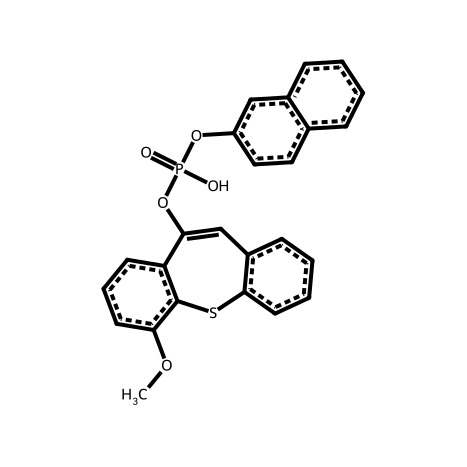 COc1cccc2c1Sc1ccccc1C=C2OP(=O)(O)Oc1ccc2ccccc2c1